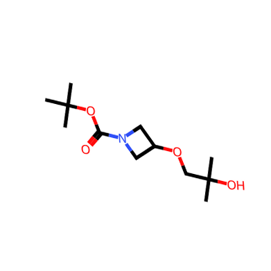 CC(C)(O)COC1CN(C(=O)OC(C)(C)C)C1